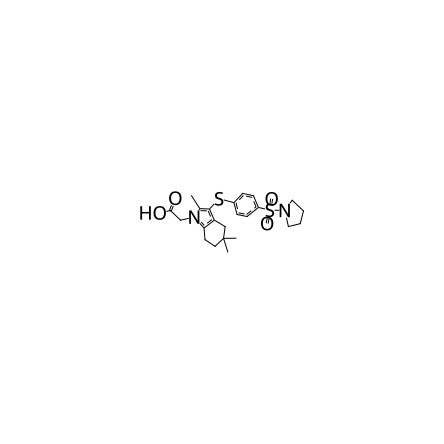 Cc1c(Sc2ccc(S(=O)(=O)N3CCCC3)cc2)c2c(n1CC(=O)O)CCC(C)(C)C2